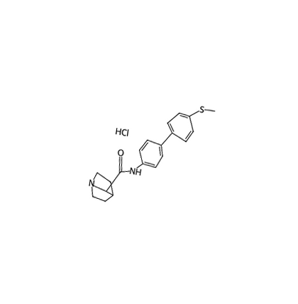 CSc1ccc(-c2ccc(NC(=O)C3CN4CCC3CC4)cc2)cc1.Cl